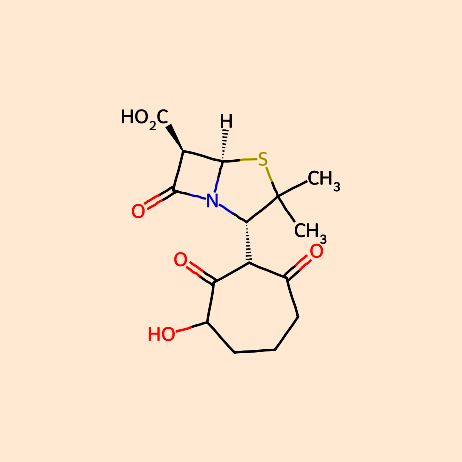 CC1(C)S[C@@H]2[C@H](C(=O)O)C(=O)N2[C@H]1C1C(=O)CCCC(O)C1=O